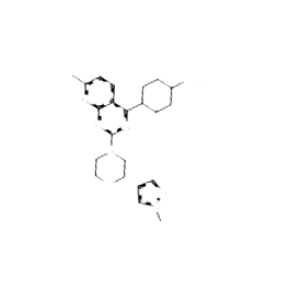 Cc1ccc2c(C3CCC(C(F)(F)F)CC3)nc(N3CCO[C@@H](c4cnn(C)c4)C3)nc2n1